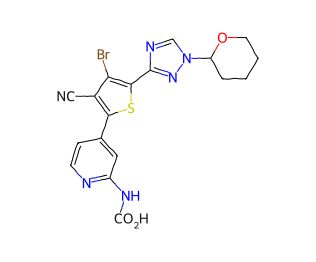 N#Cc1c(-c2ccnc(NC(=O)O)c2)sc(-c2ncn(C3CCCCO3)n2)c1Br